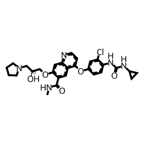 CNC(=O)c1cc2c(Oc3ccc(NC(=O)NC4CC4)c(Cl)c3)ccnc2cc1OC[C@H](O)CN1CCCC1